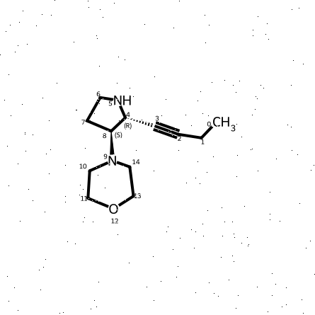 CCC#C[C@H]1NCC[C@@H]1N1CCOCC1